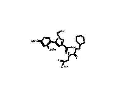 COC(=O)CNC(=O)C(CC1CCCCC1)NC(=O)c1cc(-c2ccc(OC)cc2OC)n(CC(C)C)n1